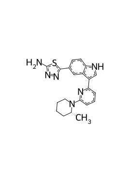 C[C@@H]1CCCCN1c1cccc(-c2c[nH]c3ccc(-c4nnc(N)s4)cc23)n1